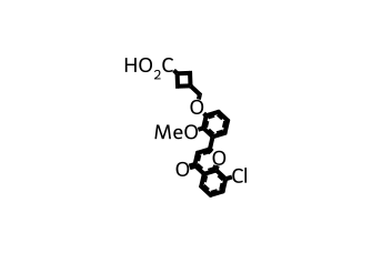 COc1c(OCC2CC(C(=O)O)C2)cccc1-c1cc(=O)c2cccc(Cl)c2o1